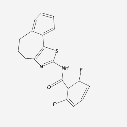 O=C(Nc1nc2c(s1)-c1ccccc1CCC2)C1C(F)=CC=CC1F